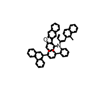 C=C/C(=C\c1ccc2ccccc2c1C)N(c1ccccc1-c1ccc(-c2cc3ccccc3c3ccccc23)cc1)c1cccc2oc3cc4ccccc4cc3c12